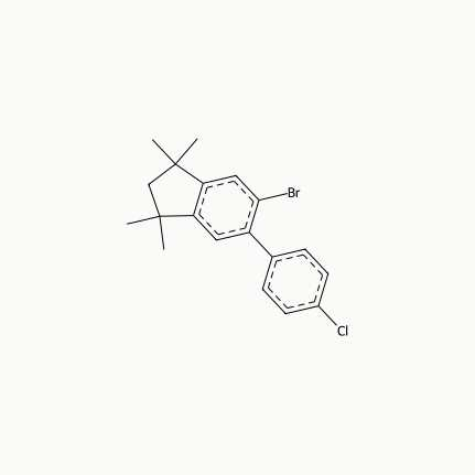 CC1(C)CC(C)(C)c2cc(-c3ccc(Cl)cc3)c(Br)cc21